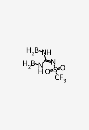 BNC(=NS(=O)(=O)C(F)(F)F)NB